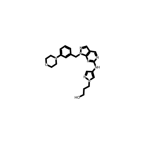 OCCCn1cc(Nc2ncc3cnn(Cc4cccc(N5CCOCC5)c4)c3n2)cn1